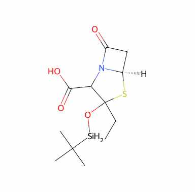 CCC1(O[SiH2]C(C)(C)C)S[C@@H]2CC(=O)N2C1C(=O)O